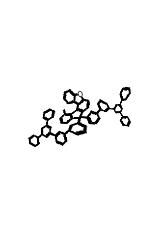 Cc1cccc2c1-c1c(ccc3oc4ccccc4c13)C2(c1cccc(-c2cccc(-c3cc(-c4ccccc4)cc(-c4ccccc4)c3)c2)c1)c1cccc(-c2cccc(-c3cc(-c4ccccc4)cc(-c4ccccc4)c3)c2)c1